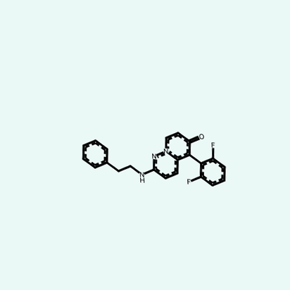 O=c1ccn2nc(NCCc3ccccc3)ccc2c1-c1c(F)cccc1F